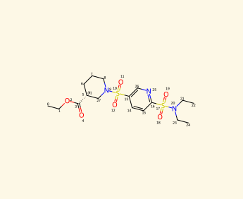 CCOC(=O)[C@@H]1CCCN(S(=O)(=O)c2ccc(S(=O)(=O)N(CC)CC)nc2)C1